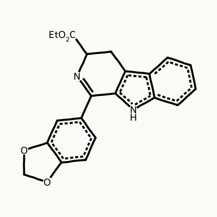 CCOC(=O)C1Cc2c([nH]c3ccccc23)C(c2ccc3c(c2)OCO3)=N1